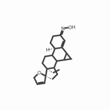 CC[C@]12CCC3C(C4CC4C4=CC(=NO)CC[C@@H]43)C1CC[C@@]21C=CCO1